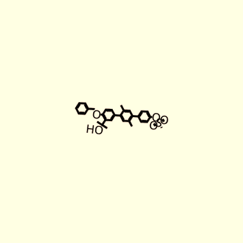 Cc1cc(-c2ccc(OCc3ccccc3)c(C(C)(C)O)c2)c(C)cc1-c1ccc(OS(C)(=O)=O)cc1